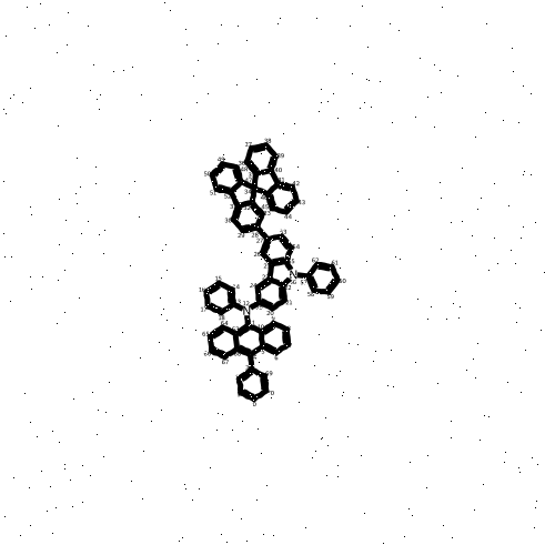 c1ccc(-c2c3ccccc3c(N(c3ccccc3)c3ccc4c(c3)c3cc(-c5ccc6c(c5)C5(c7ccccc7-c7ccccc75)c5ccccc5-6)ccc3n4-c3ccccc3)c3ccccc23)cc1